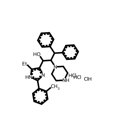 CCc1[nH]c(-c2ccccc2C)nc1C(O)C(C(c1ccccc1)c1ccccc1)N1CCNCC1.Cl.Cl.Cl